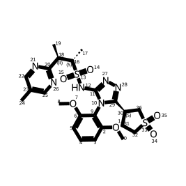 COc1cccc(OC)c1-n1c(NS(=O)(=O)[C@@H](C)[C@H](C)c2ncc(C)cn2)nnc1[C@@H]1CCS(=O)(=O)C1